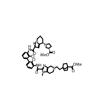 COC(=O)[C@@H]1CCN([C@@H]2CCCn3nc(C(=O)Nc4cccc(-c5cccc(NC(=O)c6nc7c(n6C)CCN(CCC68CCC(C(=O)OC)(CC6)C8)C7)c5Cl)c4Cl)cc32)C1